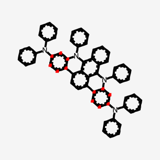 c1ccc(N(c2ccccc2)c2ccc(-c3ccc(-c4ccc(N(c5ccccc5)c5ccccc5)cc4)c4c(N(c5ccccc5)c5ccccc5)c5ccccc5c(N(c5ccccc5)c5ccccc5)c34)cc2)cc1